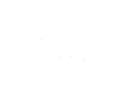 O=C(CN1CCN(Cc2ccc(NS(=O)(=O)Cc3ccccc3)cc2)CC1)NO